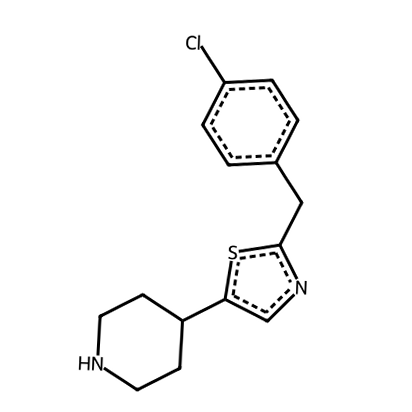 Clc1ccc(Cc2ncc(C3CCNCC3)s2)cc1